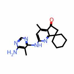 Cc1cc(Nc2ncnc(N)c2C)nc2c1C(=O)CC21CCCCC1